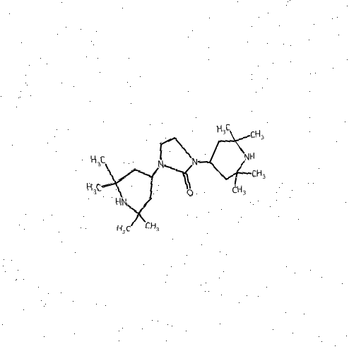 CC1(C)CC(N2CCN(C3CC(C)(C)NC(C)(C)C3)C2=O)CC(C)(C)N1